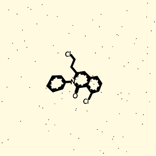 O=c1c2c(Cl)cccc2cc(CCCl)n1-c1ccccc1